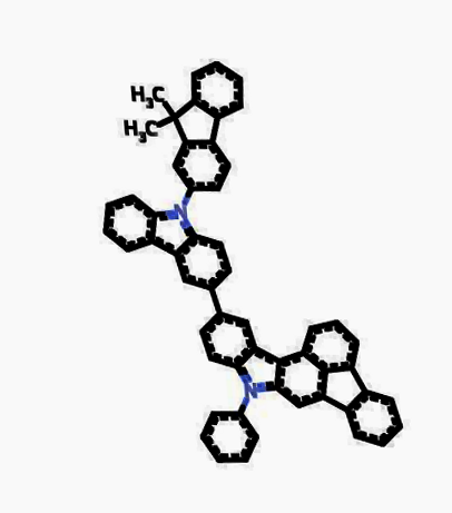 CC1(C)c2ccccc2-c2ccc(-n3c4ccccc4c4cc(-c5ccc6c(c5)c5c7cccc8c7c(cc5n6-c5ccccc5)-c5ccccc5-8)ccc43)cc21